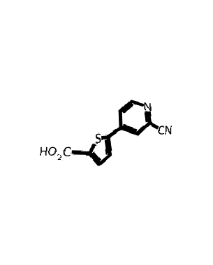 N#Cc1cc(-c2ccc(C(=O)O)s2)ccn1